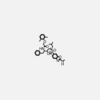 CNc1nc2ccc(S(=O)(=O)N(CC(C)C)CC(O)C(Cc3ccccc3)NC(=O)COc3c(C)cccc3C)cc2o1